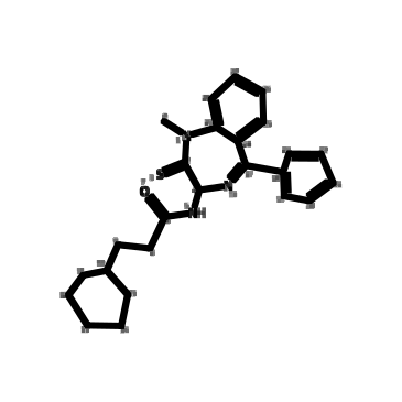 CN1C(=S)C(NC(=O)CCC2CCCCC2)N=C(c2ccccc2)c2ccccc21